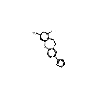 Oc1cc(O)c2c(c1)Sc1ccc(-c3cccs3)cc1CC2